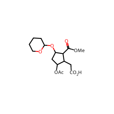 COC(=O)C1C(OC2CCCCO2)CC(OC(C)=O)C1CC(=O)O